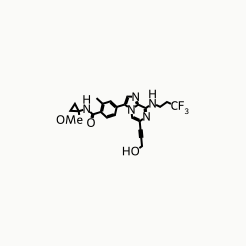 COC1(NC(=O)c2ccc(-c3cnc4c(NCCC(F)(F)F)nc(C#CCO)cn34)cc2C)CC1